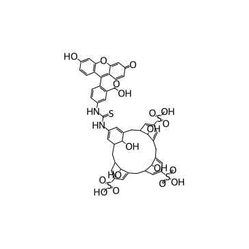 O=C(O)c1cc(NC(=S)NC2=CC3CC4C=C(S(=O)(=O)O)C=C(CC5C=C(S(=O)(=O)O)C=C(CC6=CC(S(=O)(=O)O)=CC(CC(=C2)C3O)C6O)C5O)C4O)ccc1-c1c2ccc(=O)cc-2oc2cc(O)ccc12